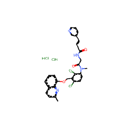 Cc1ccc2cccc(OCc3c(Cl)ccc(N(C)C(=O)CNC(=O)/C=C/c4cccnc4)c3Cl)c2n1.Cl.Cl